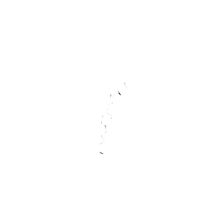 CC(C)(C)OC(=O)NCCC1CCC(CCCO[N+](=O)[O-])CC1